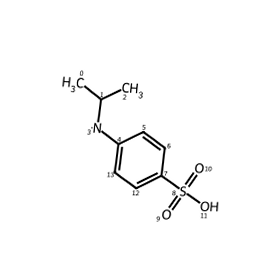 CC(C)[N]c1ccc(S(=O)(=O)O)cc1